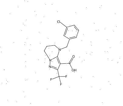 O=C(O)c1c(C(F)(F)F)nn2c1N(Cc1cccc(Cl)c1)CCC2